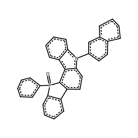 O=P1(c2ccccc2)c2ccccc2-c2ccc3c(c21)c1ccccc1n3-c1ccc2ccccc2c1